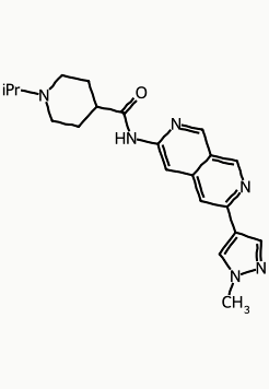 CC(C)N1CCC(C(=O)Nc2cc3cc(-c4cnn(C)c4)ncc3cn2)CC1